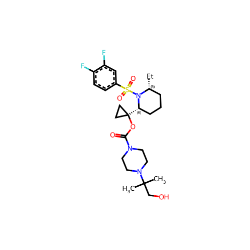 CC[C@@H]1CCC[C@H](C2(OC(=O)N3CCN(C(C)(C)CO)CC3)CC2)N1S(=O)(=O)c1ccc(F)c(F)c1